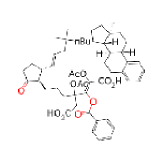 CCCCC(C)(C)C/C=C/[C@H]1CCC(=O)[C@@H]1CCCC(CC(=O)O)(OC(C)=O)/C(OC(=O)c1ccccc1)=C(\OC(C)=O)C(=O)O.C[C@@]12CCC[C@H]1[C@@H]1CCc3ccccc3[C@H]1CC2